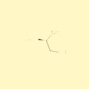 N[C@@H](CS)C(=O)[O-].[Cs+]